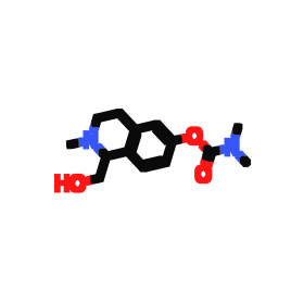 CN(C)C(=O)Oc1ccc2c(c1)CCN(C)C2CO